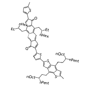 CCCCCCCCC(CCCCC)CCc1c2cc(-c3ccc(-c4cc5cc6c(CC(CC)CCCCCC)c7c(=O)c(-c8ccc(C)s8)cc7c(CC(CC)CCCCCC)c6cc5c4=O)s3)sc2c(CCC(CCCCC)CCCCCCCC)c2cc(C)sc12